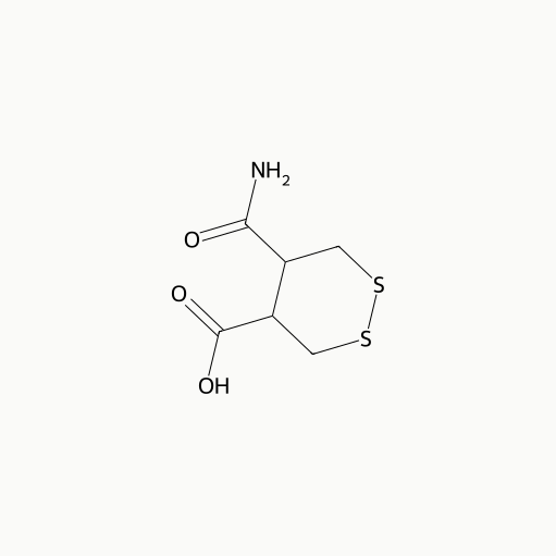 NC(=O)C1CSSCC1C(=O)O